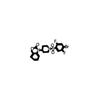 O=C1OCc2ccccc2N1C1CCN(S(=O)(=O)c2cc(F)c(Br)cc2F)CC1